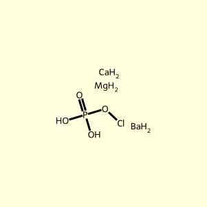 O=P(O)(O)OCl.[BaH2].[CaH2].[MgH2]